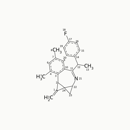 C=C1C2c3c(C)cc(C)cc3C(C(C)c3ccc(F)cc3)=NC3CC132